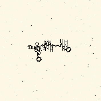 CC(C)(C)OC(=O)[C@H](Cn1cnc2c(NCCCCNc3nc4ccccc4[nH]3)ncnc21)NC(=O)OCc1ccccc1